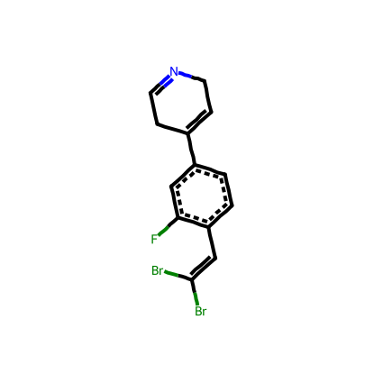 Fc1cc(C2=CCN=CC2)ccc1C=C(Br)Br